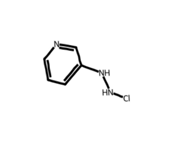 ClNNc1cccnc1